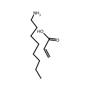 C=CC(=O)O.CCCCCCCCN